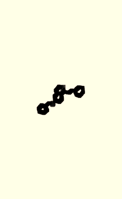 C1=CC(C=Cc2nccc3cc(OCc4ccccc4)ccc23)=CCC1